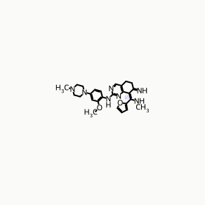 CN/C(=C1\C(=N)CCc2cnc(Nc3ccc(N4CCN(C)CC4)cc3OC)nc21)c1ccco1